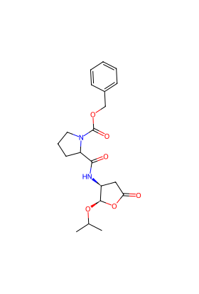 CC(C)O[C@@H]1OC(=O)C[C@@H]1NC(=O)C1CCCN1C(=O)OCc1ccccc1